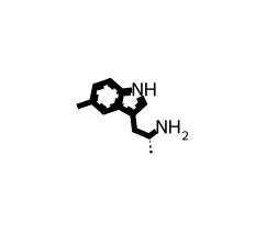 Cc1ccc2[nH]cc(C[C@@H](C)N)c2c1